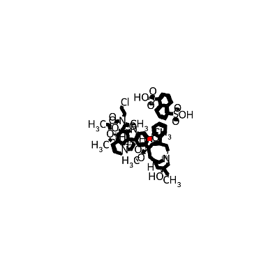 CC[C@]1(O)C[C@H]2C[N@](CCc3c([nH]c4ccccc34)[C@@](C(=O)OC)(c3cc4c(cc3OC)N(C)[C@H]3[C@]5(OC(=O)N(CCCl)C5=O)[C@H](OC(C)=O)[C@]5(CC)C=CCN6CC[C@]43[C@@H]65)C2)C1.O=S(=O)(O)c1cccc2c(S(=O)(=O)O)cccc12